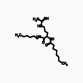 CCCCCCCC(=O)NC(CCCNC(=N)N)C(=O)NCCCCCC